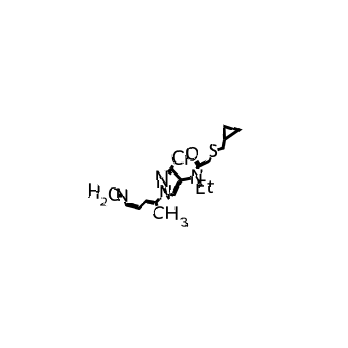 C=N/C=C\C=C(/C)n1cc(N(CC)C(=O)CSCC2CC2)c(Cl)n1